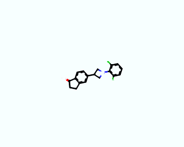 O=C1CCc2cc(C3CN(c4c(Cl)cccc4Cl)C3)ccc21